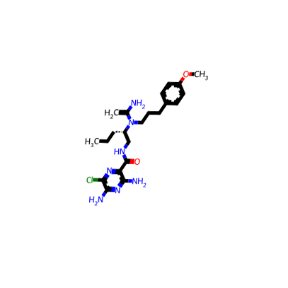 C=C(N)N(CCCc1ccc(OC)cc1)[C@@H](CCC)CNC(=O)c1nc(Cl)c(N)nc1N